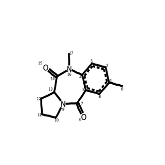 Cc1ccc2c(c1)C(=O)N1CCCC1C(=O)N2C